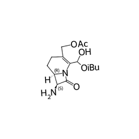 CC(=O)OCC1=C(C(O)OCC(C)C)N2C(=O)[C@@H](N)[C@H]2CC1